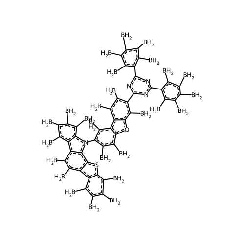 Bc1c(B)c(B)c(-c2nc(-c3c(B)c(B)c(B)c(B)c3B)nc(-c3c(B)c(B)c4c(oc5c(B)c(B)c(-n6c7c(B)c(B)c(B)c(B)c7c7c(B)c(B)c8c(sc9c(B)c(B)c(B)c(B)c98)c76)c(B)c54)c3B)n2)c(B)c1B